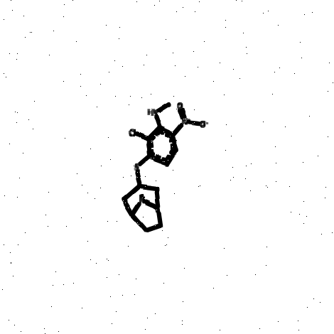 CNc1c([N+](=O)[O-])ccc(SC2CC3CCC(C2)N3C)c1Cl